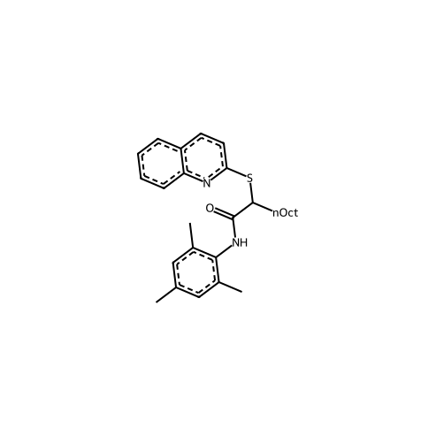 CCCCCCCCC(Sc1ccc2ccccc2n1)C(=O)Nc1c(C)cc(C)cc1C